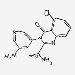 C[C@H](N)c1nc2cccc(Cl)c2c(=O)n1-c1cncc(N)c1